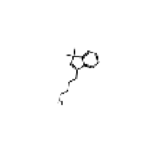 CC1(C)C=C(CCCCCl)c2ccccc21